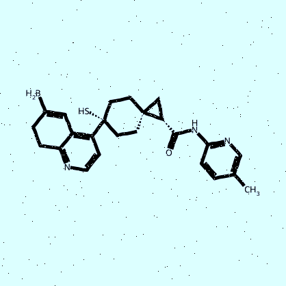 BC1=Cc2c(nccc2[C@]2(S)CC[C@]3(CC2)C[C@@H]3C(=O)Nc2ccc(C)cn2)CC1